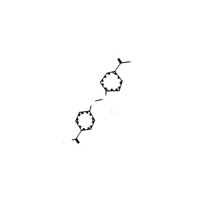 O=C([O-])c1ccc(SSc2ccc(C(=O)[O-])cc2)cc1.[Fe+2]